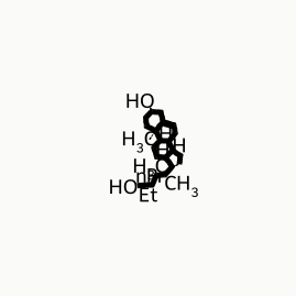 CCCC(O)(CC)CC[C@@H](C)[C@H]1CC[C@H]2[C@@H]3CC=C4C[C@@H](O)CC[C@]4(C)[C@H]3CC[C@]12C